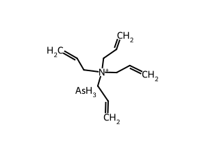 C=CC[N+](CC=C)(CC=C)CC=C.[AsH3]